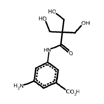 Nc1cc(NC(=O)C(CO)(CO)CO)cc(C(=O)O)c1